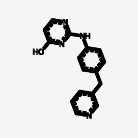 Oc1ccnc(Nc2ccc(Cc3cccnc3)cc2)n1